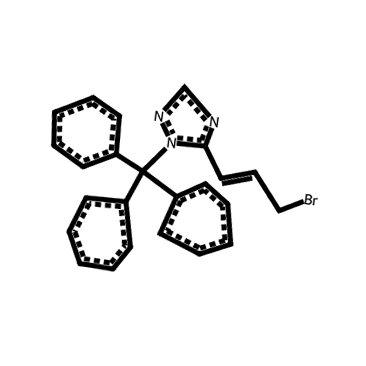 BrCC=Cc1ncnn1C(c1ccccc1)(c1ccccc1)c1ccccc1